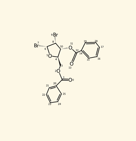 O=C(OC[C@H]1O[C@H](Br)[C@H](Br)[C@@H]1OC(=O)c1ccccc1)c1ccccc1